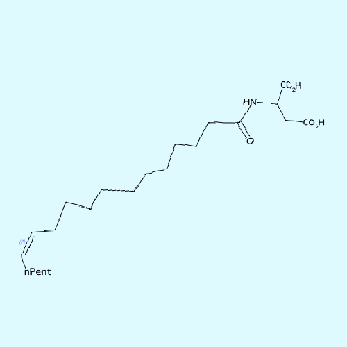 CCCCC/C=C\CCCCCCCCCCC(=O)NC(CC(=O)O)C(=O)O